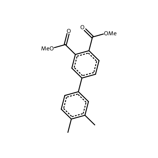 COC(=O)c1ccc(-c2ccc(C)c(C)c2)cc1C(=O)OC